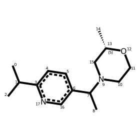 CC(C)c1ccc(C(C)N2CCO[C@@H](C)C2)cn1